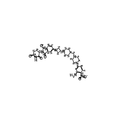 Nc1cc(N2CCN(CC3CCN(C4CN(c5ccc6c(c5)C(=O)N(C5CCC(=O)NC5=O)C6=O)C4)CC3)CC2)ccc1[N+](=O)[O-]